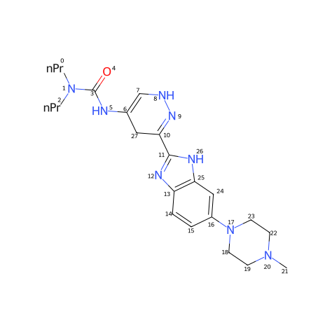 CCCN(CCC)C(=O)NC1=CNN=C(c2nc3ccc(N4CCN(C)CC4)cc3[nH]2)C1